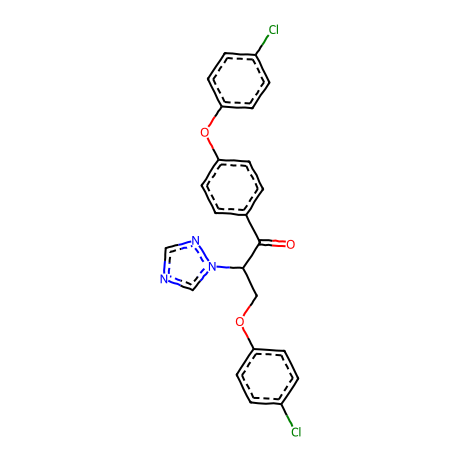 O=C(c1ccc(Oc2ccc(Cl)cc2)cc1)C(COc1ccc(Cl)cc1)n1cncn1